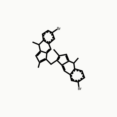 CC1=C(CC2=C(C)C=C3C2=Cc2cc(Br)ccc2C3C)C2=Cc3cc(Br)ccc3C(C)C2=C1